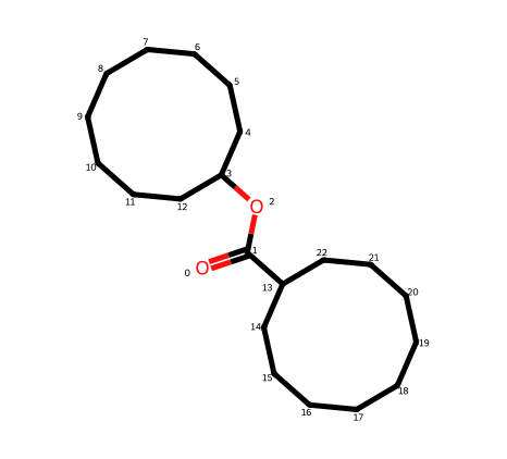 O=C(OC1CCCCCCCCC1)C1CCCCCCCCC1